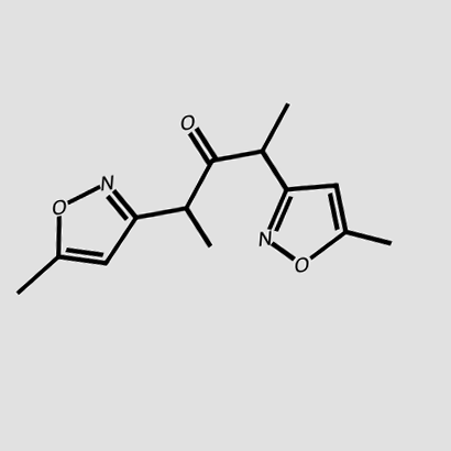 Cc1cc(C(C)C(=O)C(C)c2cc(C)on2)no1